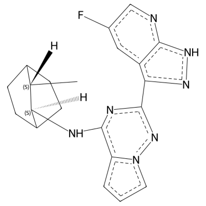 C[C@H]1C2CCC(CC2)[C@@H]1Nc1nc(-c2n[nH]c3ncc(F)cc23)nn2cccc12